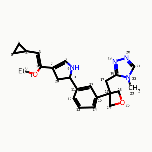 CCOC(=CC1CC1)C1=CNC(c2cccc(C3(Cc4nncn4C)COC3)c2)C1